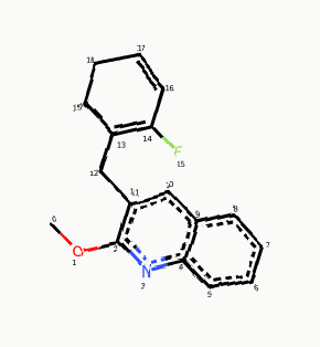 COc1nc2ccccc2cc1CC1=C(F)C=CCC1